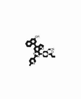 C=CC(=O)N1CCN(c2nc(-c3ccc(C)nc3)nc3cc(-c4cc(O)cc5ccccc45)c4ccoc4c23)C[C@@H]1CC#N